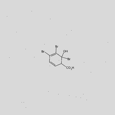 O=C(O)C1C=CC(Br)=C(Br)C1(O)Br